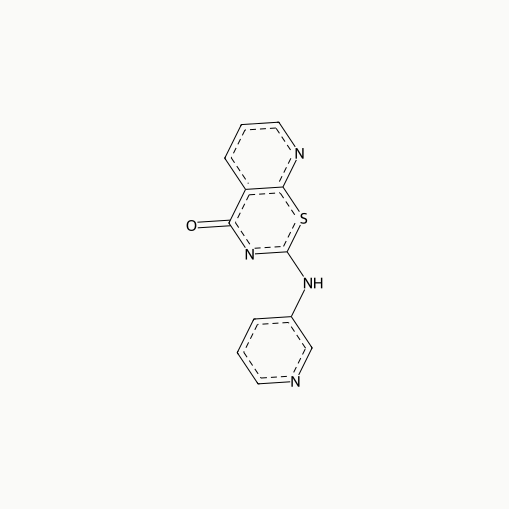 O=c1nc(Nc2cccnc2)sc2ncccc12